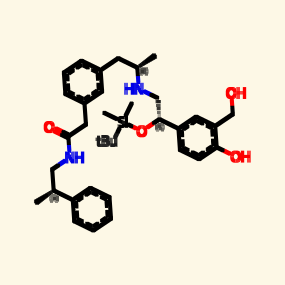 C[C@H](Cc1cccc(CC(=O)NC[C@H](C)c2ccccc2)c1)NC[C@@H](O[Si](C)(C)C(C)(C)C)c1ccc(O)c(CO)c1